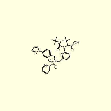 CC(C)(C)OC(=O)N(c1cccc(CN(Cc2ccc(-n3cccn3)cc2)S(=O)(=O)c2ccccn2)n1)C(C(=O)O)C(C)(C)C